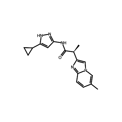 Cc1ccc2nc([C@H](C)C(=O)Nc3cc(C4CC4)[nH]n3)cn2c1